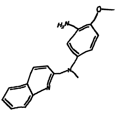 COc1ccc(N(C)c2ccc3ccccc3n2)cc1N